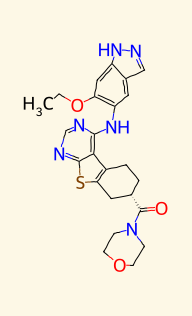 CCOc1cc2[nH]ncc2cc1Nc1ncnc2sc3c(c12)CC[C@H](C(=O)N1CCOCC1)C3